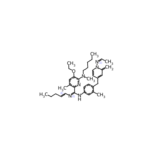 C=C1C=C(Cc2ccc(N/C(=N/C=C/CCC)c3nc(N(C)CCCCC)c(OCC)cc3C)cc2C)C=CN1/N=C\C